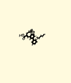 CCCCSc1ccccc1-c1ccc2c(c1)C=C(C(=O)O)CCS2(=O)=O